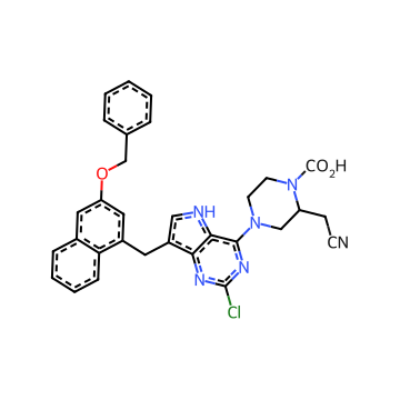 N#CCC1CN(c2nc(Cl)nc3c(Cc4cc(OCc5ccccc5)cc5ccccc45)c[nH]c23)CCN1C(=O)O